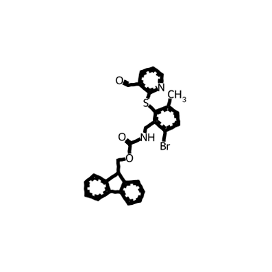 Cc1ccc(Br)c(CNC(=O)OCC2c3ccccc3-c3ccccc32)c1Sc1ncccc1C=O